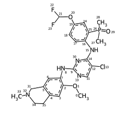 COc1cc2c(cc1Nc1ncc(Cl)c(Nc3ccc(OC(F)F)cc3P(C)(C)=O)n1)CN(C)CC2